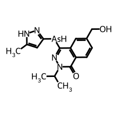 Cc1cc([AsH]c2nn(C(C)C)c(=O)c3ccc(CO)cc23)n[nH]1